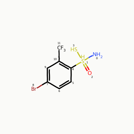 N[SH](=O)(S)c1ccc(Br)cc1C(F)(F)F